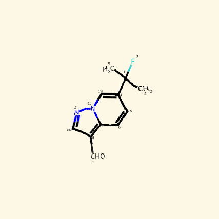 CC(C)(F)c1ccc2c(C=O)cnn2c1